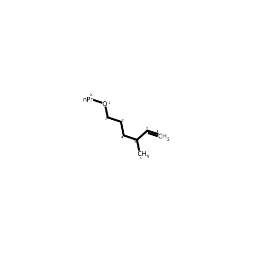 [CH2]CCOCCCC(C)C=C